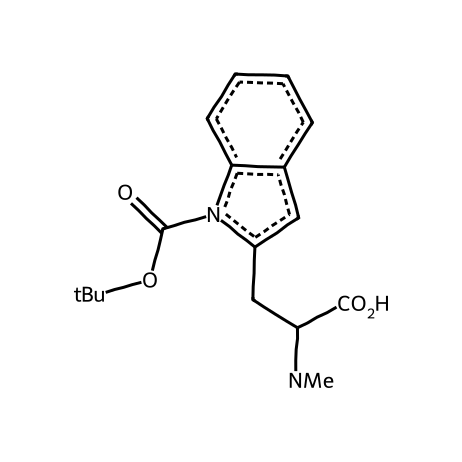 CNC(Cc1cc2ccccc2n1C(=O)OC(C)(C)C)C(=O)O